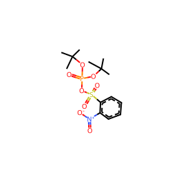 CC(C)(C)OP(=O)(OC(C)(C)C)OS(=O)(=O)c1ccccc1[N+](=O)[O-]